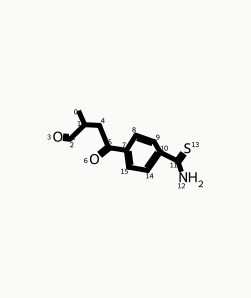 CC([C]=O)CC(=O)c1ccc(C(N)=S)cc1